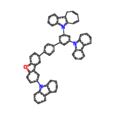 C1=CCc2c(n(-c3cc(-c4ccc(-c5ccc6oc7ccc(-n8c9ccccc9c9ccccc98)cc7c6c5)cc4)cc(-n4c5ccccc5c5ccccc54)c3)c3ccccc23)C=C1